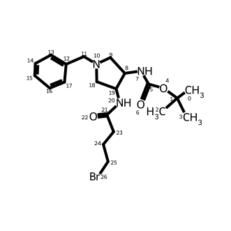 CC(C)(C)OC(=O)NC1CN(Cc2ccccc2)CC1NC(=O)CCCBr